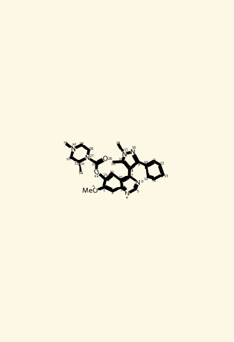 COc1cc2ncnc(-c3c(-c4ccccc4)nn(C)c3C)c2cc1OC(=O)N1CCN(C)C[C@@H]1C